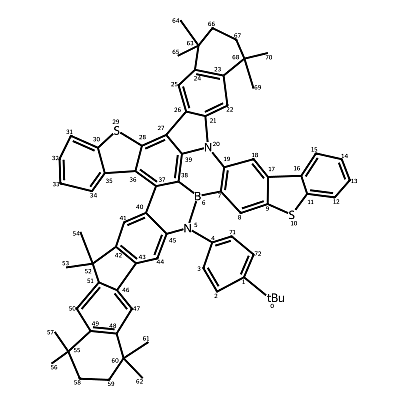 CC(C)(C)c1ccc(N2B3c4cc5sc6ccccc6c5cc4-n4c5cc6c(cc5c5c7sc8ccccc8c7c(c3c54)-c3cc4c(cc32)-c2cc3c(cc2C4(C)C)C(C)(C)CCC3(C)C)C(C)(C)CCC6(C)C)cc1